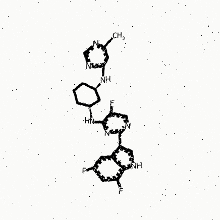 Cc1cc(N[C@@H]2CCC[C@H](Nc3nc(-c4c[nH]c5c(F)cc(F)cc45)ncc3F)C2)ncn1